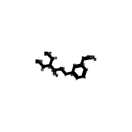 C=Cc1cccc(CO[SiH2]C(OCC)OCC)c1